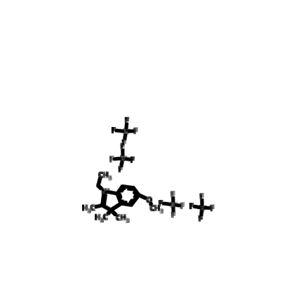 CC[N+]1=C(C)C(C)(C)c2cc(OC)ccc21.F[B-](F)(F)F.F[B-](F)(F)F.F[B-](F)(F)F.F[B-](F)(F)F